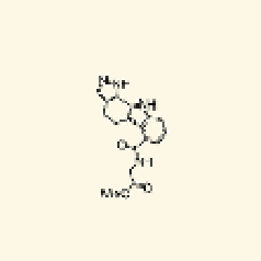 COC(=O)CNC(=O)c1cccc2[nH]c3c(c12)CCc1cn[nH]c1-3